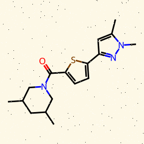 Cc1cc(-c2ccc(C(=O)N3CC(C)CC(C)C3)s2)nn1C